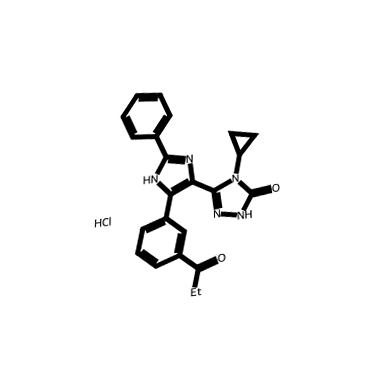 CCC(=O)c1cccc(-c2[nH]c(-c3ccccc3)nc2-c2n[nH]c(=O)n2C2CC2)c1.Cl